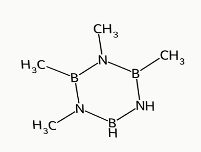 CB1NBN(C)B(C)N1C